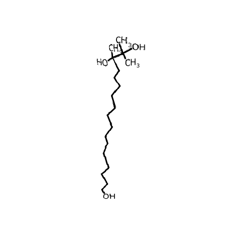 CC(C)(O)C(C)(O)CCCCCCCCCCCCCCO